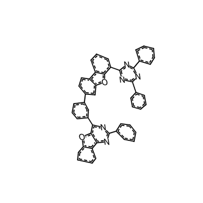 c1ccc(-c2nc(-c3ccccc3)nc(-c3cccc4c3oc3cc(-c5cccc(-c6nc(-c7ccccc7)nc7c6oc6ccccc67)c5)ccc34)n2)cc1